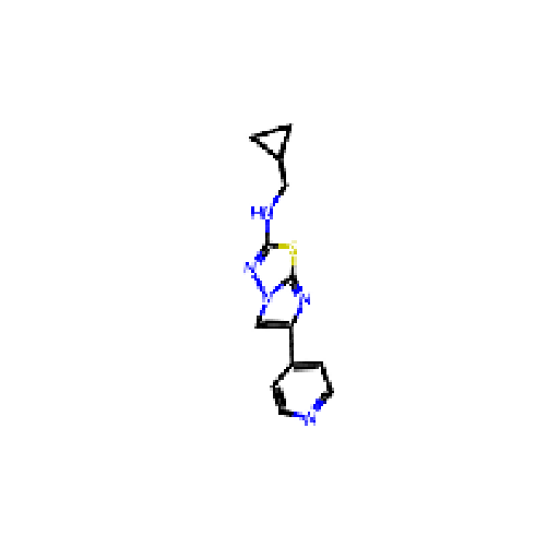 c1cc(-c2cn3nc(NCC4CC4)sc3n2)ccn1